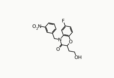 O=C1C(CCO)Oc2ccc(F)cc2N1Cc1cccc([N+](=O)[O-])c1